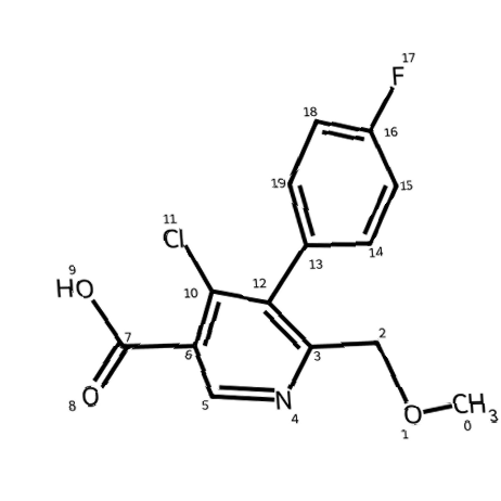 COCc1ncc(C(=O)O)c(Cl)c1-c1ccc(F)cc1